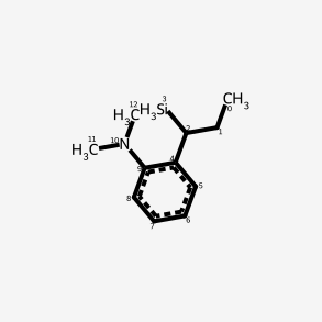 CCC([SiH3])c1ccccc1N(C)C